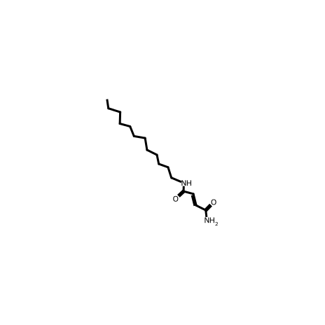 CCCCCCCCCCCCNC(=O)/C=C/C(N)=O